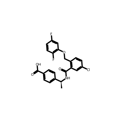 C[C@H](NC(=O)c1cc(Cl)ccc1COc1cc(F)ccc1F)c1ccc(C(=O)O)cc1